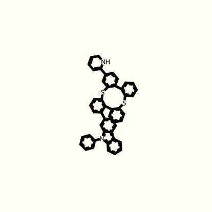 C1=CCNC(c2ccc3c(c2)Sc2cccc(-c4ccc5c6ccccc6n(-c6ccccc6)c5c4)c2-c2ccccc2Sc2ccccc2-3)=C1